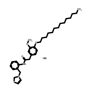 Br.CCCCCCCCCCCCCCOc1ccc(CC(=O)Nc2ccccc2CN2C=CSC2)cc1OC